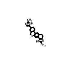 Cc1ncc(C2=CC3=C(CC2)c2cc4c(cc2OC3)-c2[nH]c(P)nc2CC4)[nH]1